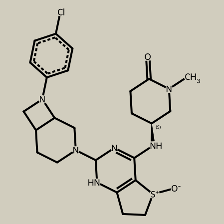 CN1C[C@@H](NC2=NC(N3CCC4CN(c5ccc(Cl)cc5)C4C3)NC3=C2[S+]([O-])CC3)CCC1=O